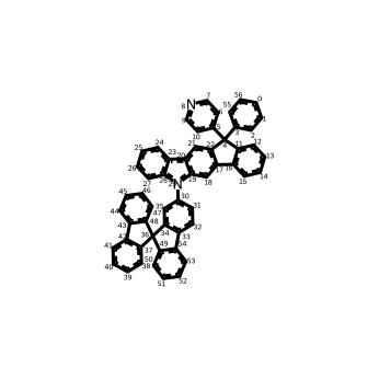 c1ccc(C2(c3ccncc3)c3ccccc3-c3cc4c(cc32)c2ccccc2n4-c2ccc3c(c2)C2(c4ccccc4-c4ccccc42)c2ccccc2-3)cc1